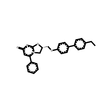 CCc1ccc(-c2ccc(OC[C@@H]3Cn4c(-c5ccccc5)cc(=O)nc4O3)cc2)cc1